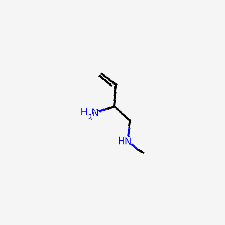 C=CC(N)CNC